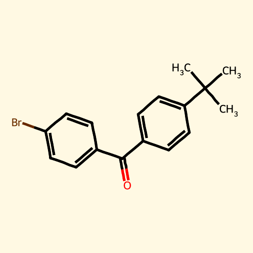 CC(C)(C)c1ccc(C(=O)c2ccc(Br)cc2)cc1